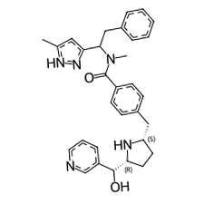 Cc1cc(C(Cc2ccccc2)N(C)C(=O)c2ccc(C[C@@H]3CC[C@H](C(O)c4cccnc4)N3)cc2)n[nH]1